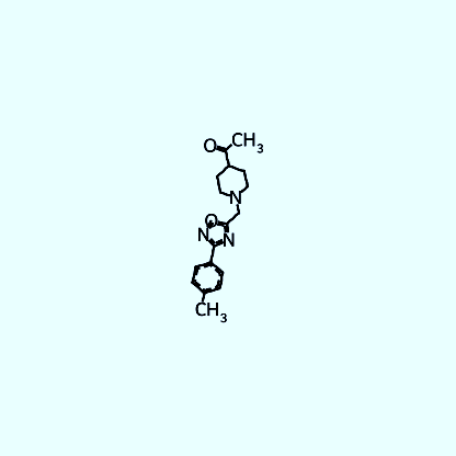 CC(=O)C1CCN(Cc2nc(-c3ccc(C)cc3)no2)CC1